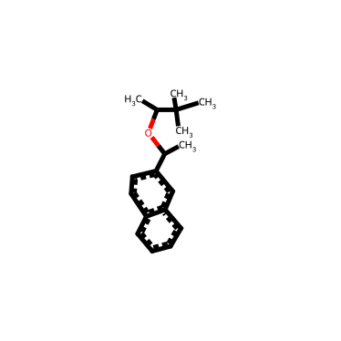 CC(OC(C)C(C)(C)C)c1ccc2ccccc2c1